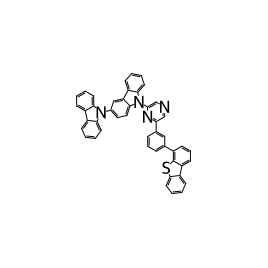 c1cc(-c2cncc(-n3c4ccccc4c4cc(-n5c6ccccc6c6ccccc65)ccc43)n2)cc(-c2cccc3c2sc2ccccc23)c1